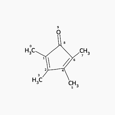 CC1=C(C)C(C)=C(C)C1=O